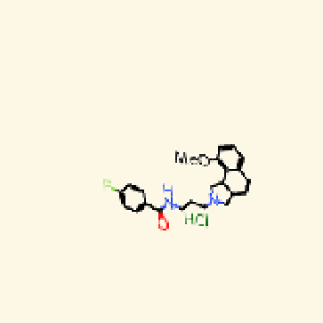 COc1cccc2c1C1CN(CCCNC(=O)c3ccc(F)cc3)CC1CC2.Cl